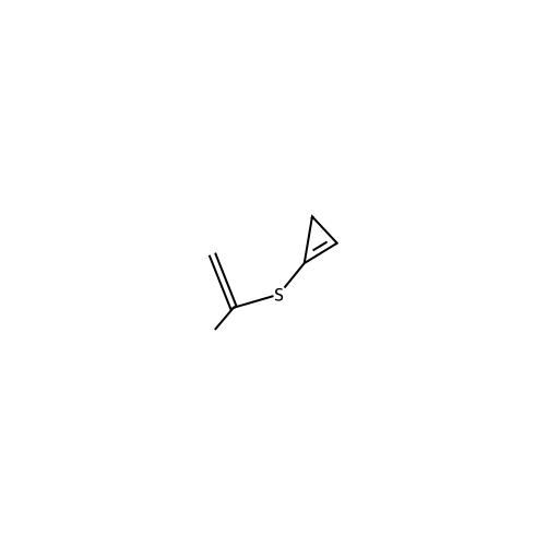 C=C(C)SC1=CC1